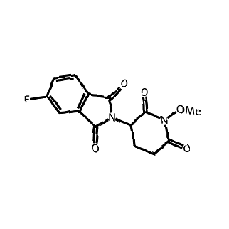 CON1C(=O)CCC(N2C(=O)c3ccc(F)cc3C2=O)C1=O